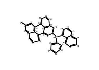 Cc1cc2cccc3c4cc(N(c5ccccc5)c5cccc6ccccc56)cc5cccc(c(c1)c23)c54